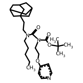 CCCCCN(CCC12CC3CC(CC(C3)C1)C2)C(=O)N(CCOc1ccncc1)C(=O)OC(C)(C)C